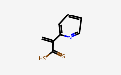 C=C(C(=S)S)c1ccccn1